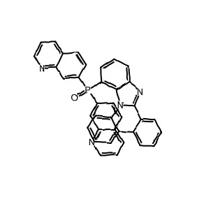 O=P(c1ccc2cccnc2c1)(c1ccc2cccnc2c1)c1cccc2nc3c4ccccc4c4ccccc4n3c12